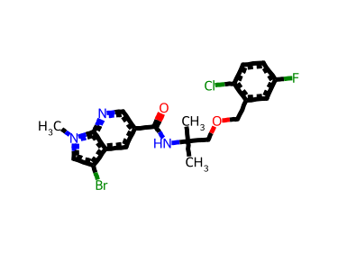 Cn1cc(Br)c2cc(C(=O)NC(C)(C)COCc3cc(F)ccc3Cl)cnc21